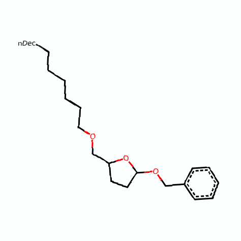 CCCCCCCCCCCCCCCCOCC1CCC(OCc2ccccc2)O1